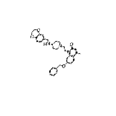 Cc1cc(=O)n(CCN2CCC(NCc3ccc4c(c3)OCCO4)CC2)c2cc(OCc3ccccc3)ccc12